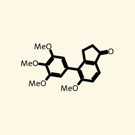 COc1cc(-c2c(OC)ccc3c2CCC3=O)cc(OC)c1OC